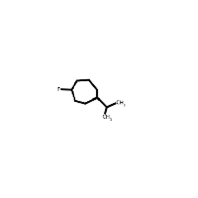 CC(C)C1CCCC(F)CC1